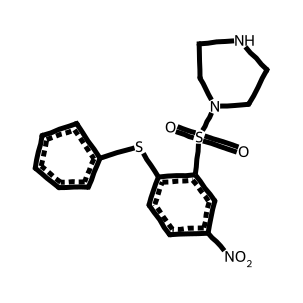 O=[N+]([O-])c1ccc(Sc2ccccc2)c(S(=O)(=O)N2CCNCC2)c1